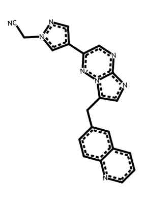 N#CCn1cc(-c2cnc3ncc(Cc4ccc5ncccc5c4)n3n2)cn1